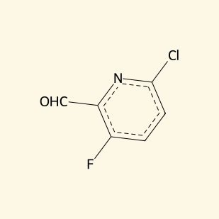 O=Cc1nc(Cl)ccc1F